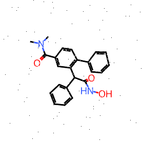 CN(C)C(=O)c1ccc(-c2ccccc2)c(C(C(=O)NO)c2ccccc2)c1